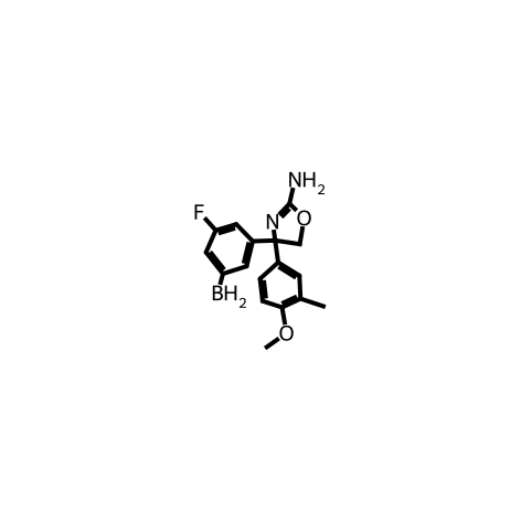 Bc1cc(F)cc(C2(c3ccc(OC)c(C)c3)COC(N)=N2)c1